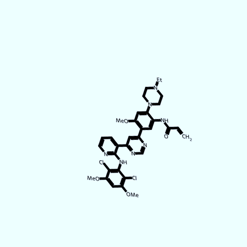 C=CC(=O)Nc1cc(-c2cc(-c3cccnc3Nc3c(Cl)c(OC)cc(OC)c3Cl)ncn2)c(OC)cc1N1CCN(CC)CC1